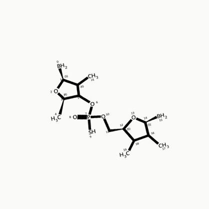 B[C@@H]1O[C@H](C)C(OP(=O)(S)OC[C@H]2O[C@@H](B)C(C)C2C)C1C